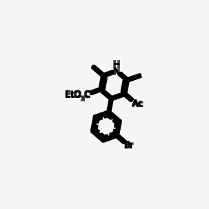 CCOC(=O)C1=C(C)NC(C)=C(C(C)=O)C1c1cccc(Br)c1